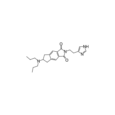 CCCN(CCC)C1Cc2cc3c(cc2C1)C(=O)N(CCc1c[nH]cn1)C3=O